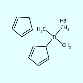 Br.[CH3][Ti]([CH3])([CH3])[CH]1C=CC=C1.[CH]1C=CC=C1